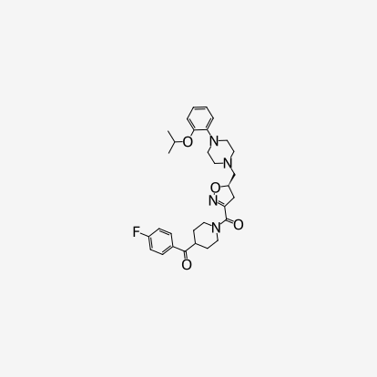 CC(C)Oc1ccccc1N1CCN(C[C@H]2CC(C(=O)N3CCC(C(=O)c4ccc(F)cc4)CC3)=NO2)CC1